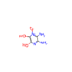 Nc1nc(O)c(O)[n+]([O-])c1N